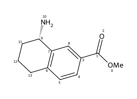 COC(=O)c1ccc2c(c1)[C@@H](N)CCC2